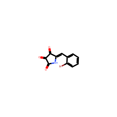 O=C1NC(=Cc2ccccc2Br)C(=O)C1=O